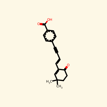 CC1(C)C=C(/C=C/C#Cc2ccc(C(=O)O)cc2)C(=O)CC1